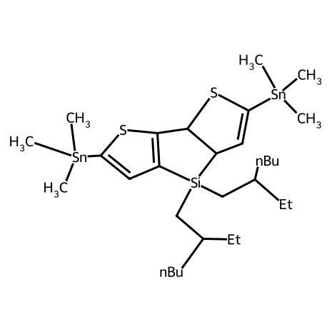 CCCCC(CC)C[Si]1(CC(CC)CCCC)c2c[c]([Sn]([CH3])([CH3])[CH3])sc2C2S[C]([Sn]([CH3])([CH3])[CH3])=CC21